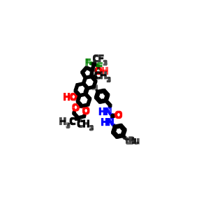 CC1(C)COC2(CCC3=C4C(CCC3(O)C2)C2CC[C@@](O)(C(F)(F)C(F)(F)F)[C@@]2(C)C[C@@H]4c2ccc(CNC(=O)Nc3ccc(C(C)(C)C)cc3)cc2)OC1